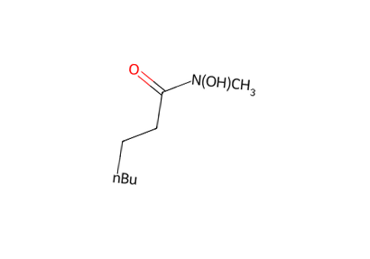 CCCCCCC(=O)N(C)O